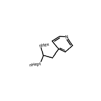 CCCCCCCC(CCCCCC)Cc1ccncc1